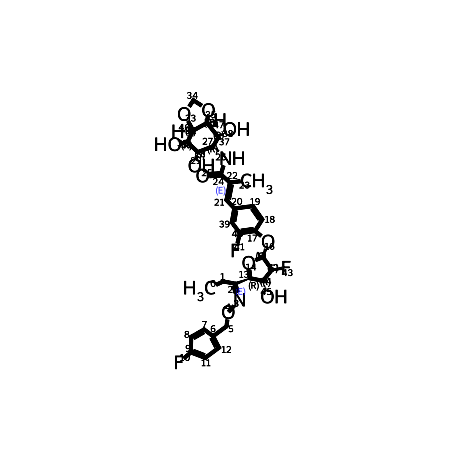 CC/C(=N\OCc1ccc(F)cc1)[C@H]1O[C@@H](Oc2ccc(/C=C(\C)C(=O)N[C@@H]3[C@H](O)[C@@H](O)[C@H]4OCO[C@H]4[C@@H]3O)cc2F)[C@@H](F)[C@@H]1O